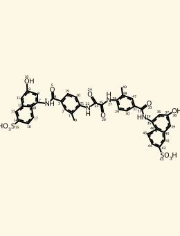 Cc1cc(C(=O)Nc2cc(O)cc3cc(S(=O)(=O)O)ccc23)ccc1NC(=O)C(=O)Nc1ccc(C(=O)Nc2cc(O)cc3cc(S(=O)(=O)O)ccc23)cc1C